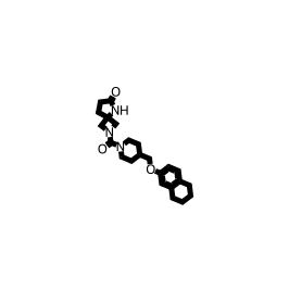 O=C1CCC2(CN(C(=O)N3CCC(COc4ccc5c(c4)CCCC5)CC3)C2)N1